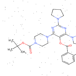 Cc1ccccc1C(=O)Oc1c(N2CCCC2)nc(N2CCCC2)nc1N1CCN(C(=O)OC(C)(C)C)CC1